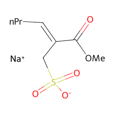 CCC/C=C(\CS(=O)(=O)[O-])C(=O)OC.[Na+]